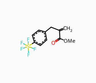 C=C(Cc1ccc(S(F)(F)(F)(F)F)cc1)C(=O)OC